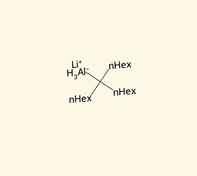 CCCCCC[C]([AlH3-])(CCCCCC)CCCCCC.[Li+]